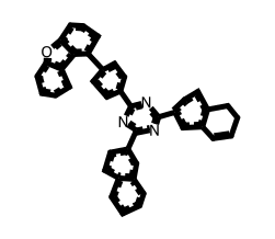 C1=Cc2cc(-c3nc(-c4ccc(-c5cccc6oc7ccccc7c56)cc4)nc(-c4ccc5ccccc5c4)n3)ccc2CC1